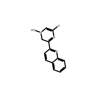 ON1C=C(Cl)N=C(c2ccc3ccccc3n2)C1